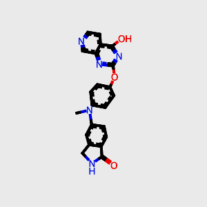 CN(c1ccc(Oc2nc(O)c3ccncc3n2)cc1)c1ccc2c(c1)CNC2=O